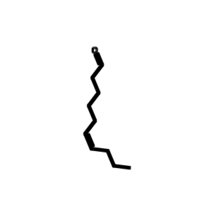 CCC/C=C\CCCCC=O